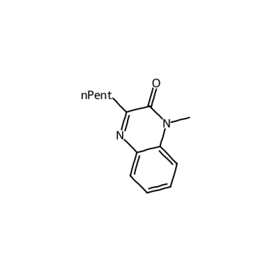 CCCCCc1nc2ccccc2n(C)c1=O